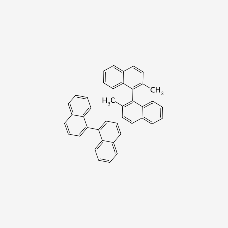 Cc1ccc2ccccc2c1-c1c(C)ccc2ccccc12.c1ccc2c(-c3cccc4ccccc34)cccc2c1